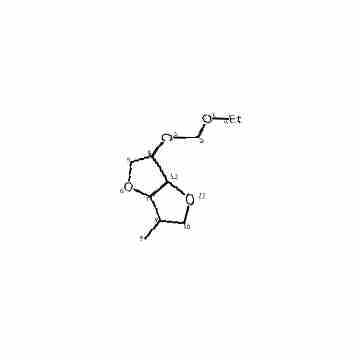 CCOCOC1COC2C(C)COC12